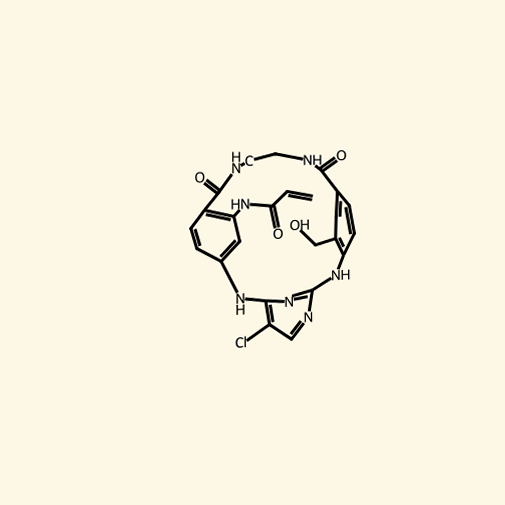 C=CC(=O)Nc1cc2ccc1C(=O)NCCNC(=O)c1ccc(c(CO)c1)Nc1ncc(Cl)c(n1)N2